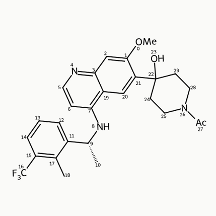 COc1cc2nccc(N[C@H](C)c3cccc(C(F)(F)F)c3C)c2cc1C1(O)CCN(C(C)=O)CC1